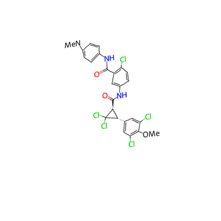 CNc1ccc(NC(=O)c2cc(NC(=O)[C@H]3[C@H](c4cc(Cl)c(OC)c(Cl)c4)C3(Cl)Cl)ccc2Cl)cc1